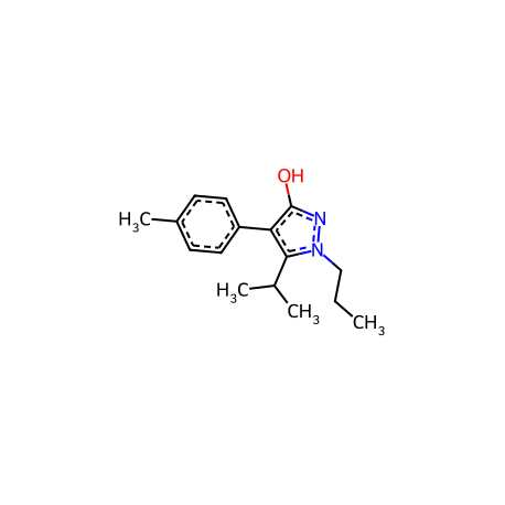 CCCn1nc(O)c(-c2ccc(C)cc2)c1C(C)C